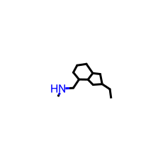 CCC1CC2CCCC(CNC)C2C1